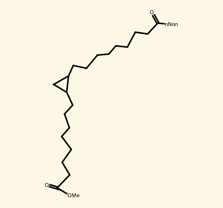 CCCCCCCCCC(=O)CCCCCCCCC1CC1CCCCCCCC(=O)OC